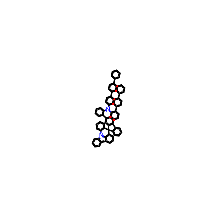 c1ccc(-c2ccc(-c3ccc(N(c4ccccc4-c4ccc(-c5ccccc5)cc4)c4ccccc4-c4ccc5c(c4)C4(c6ccccc6-5)c5ccccc5-n5c6ccccc6c6cccc4c65)cc3)cc2)cc1